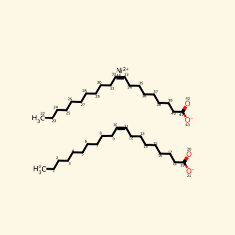 CCCCCCCCCC/C=C\CCCCCCCC(=O)[O-].CCCCCCCCCC/C=C\CCCCCCCC(=O)[O-].[Ni+2]